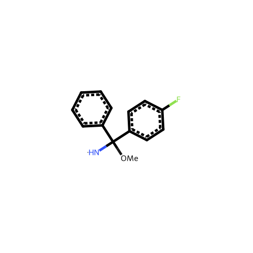 COC([NH])(c1ccccc1)c1ccc(F)cc1